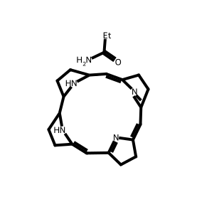 C1=C2CCC(=N2)C=C2CCC(N2)C2CCC(C=C3CCC1=N3)N2.CCC(N)=O